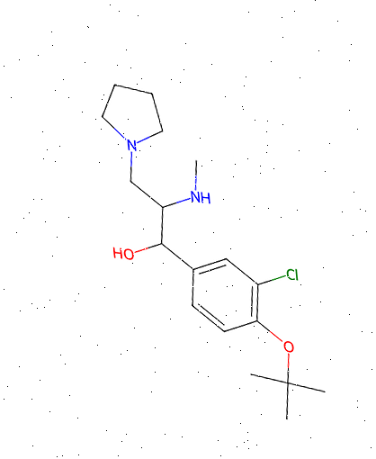 CNC(CN1CCCC1)C(O)c1ccc(OC(C)(C)C)c(Cl)c1